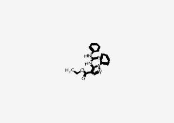 CCOC(=O)c1cnn(-c2ccccc2)c1NC(=S)Nc1ccccc1